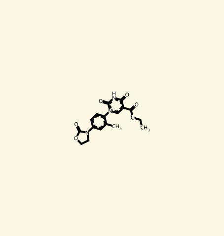 CCOC(=O)c1cn(-c2ccc(N3CCOC3=O)cc2C)c(=O)[nH]c1=O